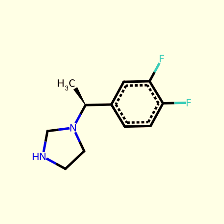 C[C@@H](c1ccc(F)c(F)c1)N1CCNC1